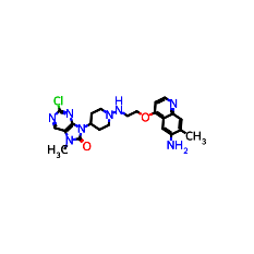 Cc1cc2nccc(OCCNN3CCC(n4c(=O)n(C)c5cnc(Cl)nc54)CC3)c2cc1N